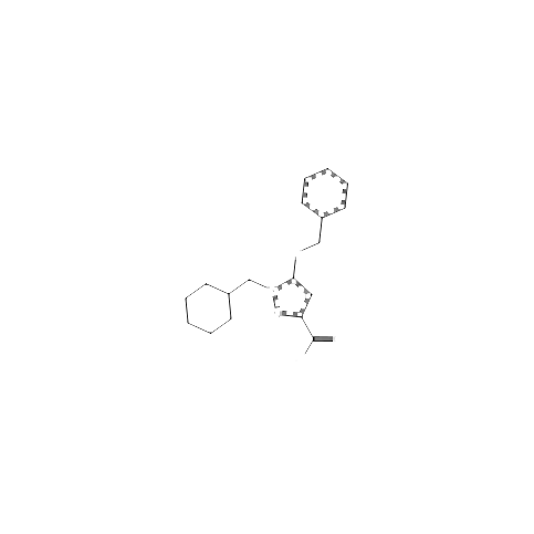 O=C(O)c1cc(OCc2ccccc2)n(CC2CCCCC2)n1